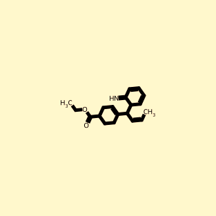 C/C=C\C(C1=CCC(C(=O)OCC)CC1)C1C=CC=CC1=N